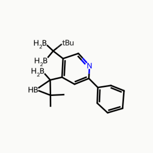 BC(B)(c1cnc(-c2ccccc2)cc1C1(B)BC1(C)C)C(C)(C)C